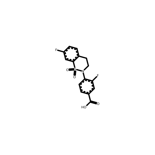 O=C(O)c1ccc(N2CCc3ccc(F)cc3S2(=O)=O)c(F)c1